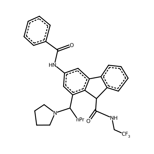 CCCC(c1cc(NC(=O)c2ccccc2)cc2c1C(C(=O)NCC(F)(F)F)c1ccccc1-2)N1CCCC1